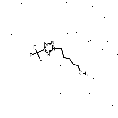 CCCCCCn1nnc(C(F)(F)F)n1